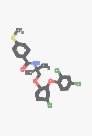 C[C@](C#N)(COc1ccc(Cl)cc1Oc1ccc(Cl)cc1Cl)NC(=O)c1ccc(SC(F)(F)F)cc1